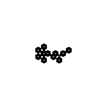 c1ccc(-c2ccc(N(c3ccccc3)c3cccc4c(-c5ccc6c(-c7ccccc7)c(-c7ccccc7)c(-c7ccccc7)c(-c7ccccc7)c6c5)cccc34)cc2)cc1